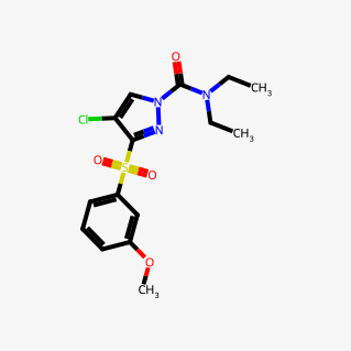 CCN(CC)C(=O)n1cc(Cl)c(S(=O)(=O)c2cccc(OC)c2)n1